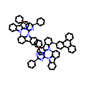 Cc1cccc2c3ccccc3n(-c3cccc4c5cc(-c6cccc7c6c6cccc(-c8ccc9c%10ccccc%10c%10ccccc%10c9c8)c6n7-c6cccc7c8ccccc8n(-c8nc(-c9ccccc9)nc(-c9ccccc9)n8)c67)ccc5n(-c5nc(-c6ccccc6)cc(-c6ccccc6)n5)c34)c12